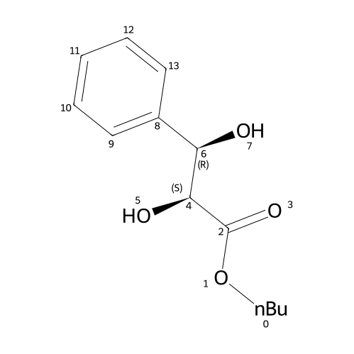 CCCCOC(=O)[C@@H](O)[C@H](O)c1ccccc1